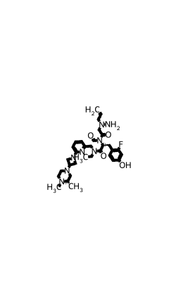 C=CCN(N)CC(=O)N(C=O)[C@@H](Cc1ccc(O)cc1F)C(=O)N(CC)Cc1cccc(N2CC(N3CCN(C)[C@H](C)C3)C2)n1